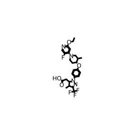 CCOc1cc(N2CCC(Oc3ccc(N4N=C(C(F)(F)F)C(C)C4CC(=O)O)cc3)C(C)C2)c(F)cn1